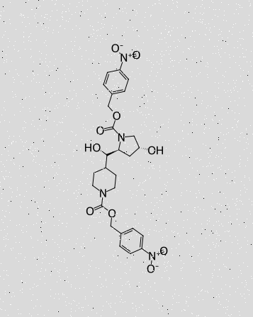 O=C(OCc1ccc([N+](=O)[O-])cc1)N1CCC(C(O)[C@@H]2C[C@@H](O)CN2C(=O)OCc2ccc([N+](=O)[O-])cc2)CC1